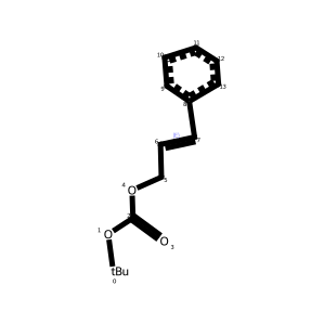 CC(C)(C)OC(=O)OC/C=C/c1ccccc1